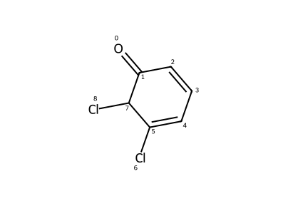 O=C1C=CC=C(Cl)C1Cl